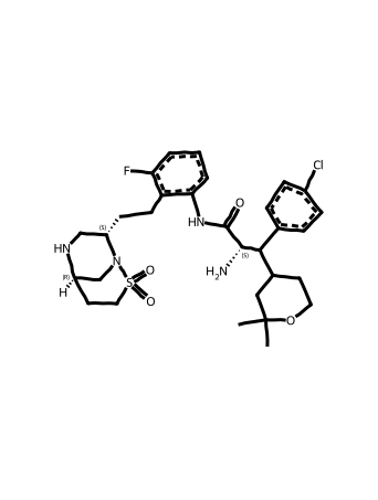 CC1(C)CC(C(c2ccc(Cl)cc2)[C@H](N)C(=O)Nc2cccc(F)c2CC[C@H]2CN[C@@H]3CCS(=O)(=O)N2C3)CCO1